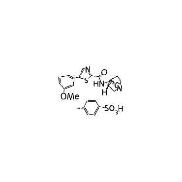 COc1cccc(-c2cnc(C(=O)N[C@H]3CN4CCC3CC4)s2)c1.Cc1ccc(S(=O)(=O)O)cc1